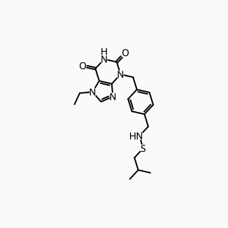 CCn1cnc2c1c(=O)[nH]c(=O)n2Cc1ccc(CNSCC(C)C)cc1